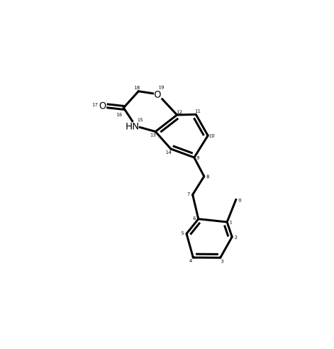 Cc1ccccc1CCc1ccc2c(c1)NC(=O)CO2